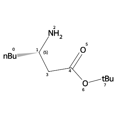 CCCC[C@H](N)CC(=O)OC(C)(C)C